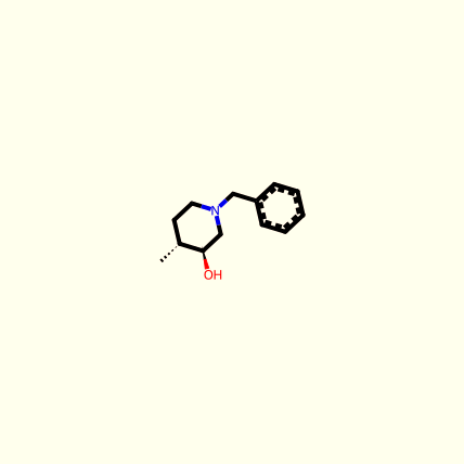 C[C@@H]1CCN(Cc2ccccc2)C[C@H]1O